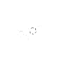 CC(C)c1ccc(N[C@H]2CCN(C)C2)nc1